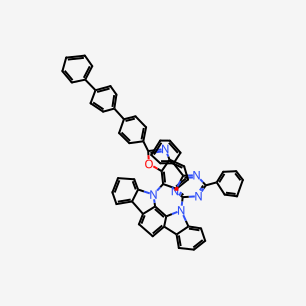 c1ccc(-c2ccc(-c3ccc(-c4nc5cccc(-n6c7ccccc7c7ccc8c9ccccc9n(-c9nc(-c%10ccccc%10)nc(-c%10ccccc%10)n9)c8c76)c5o4)cc3)cc2)cc1